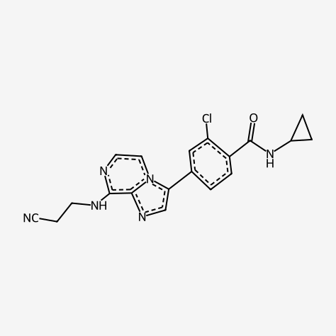 N#CCCNc1nccn2c(-c3ccc(C(=O)NC4CC4)c(Cl)c3)cnc12